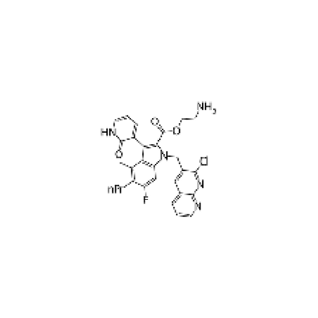 CCCc1c(F)cc2c(c1C)c(-c1ccc[nH]c1=O)c(C(=O)OCCN)n2Cc1cc2cccnc2nc1Cl